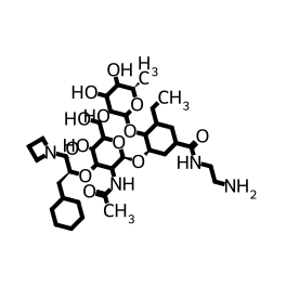 CCC1CC(C(=O)NCCN)C[C@@H](O[C@@H]2OC(CO)[C@H](O)C(O[C@@H](CC3CCCCC3)C(=O)N3CCC3)C2NC(C)=O)C1OC1O[C@@H](C)C(O)C(O)[C@@H]1O